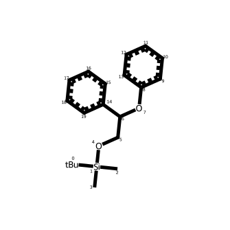 CC(C)(C)[Si](C)(C)OCC(Oc1ccccc1)c1ccccc1